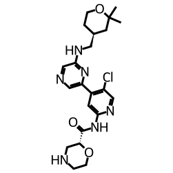 CC1(C)C[C@@H](CNc2cncc(-c3cc(NC(=O)[C@H]4CNCCO4)ncc3Cl)n2)CCO1